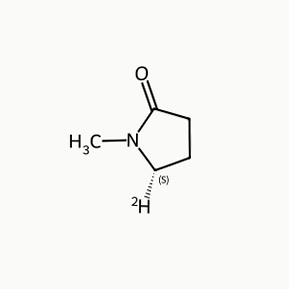 [2H][C@H]1CCC(=O)N1C